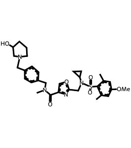 COc1cc(C)c(S(=O)(=O)N(Cc2nc(C(=O)N(C)Cc3ccc(CN4CCCC(O)C4)cc3)co2)C2CC2)c(C)c1